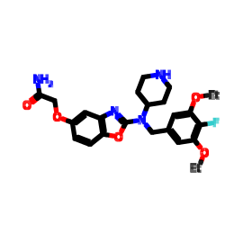 CCOc1cc(CN(c2nc3cc(OCC(N)=O)ccc3o2)C2CCNCC2)cc(OCC)c1F